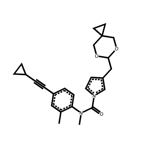 Cc1cc(C#CC2CC2)ccc1N(C)C(=O)n1ccc(CC2OCC3(CC3)CO2)c1